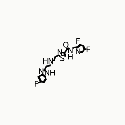 O=C(NCc1ncc(F)cc1F)c1csc(CCNCCc2nc3cc(F)ccc3[nH]2)n1